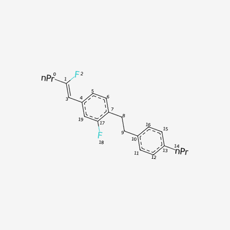 CCCC(F)=Cc1ccc(CCc2ccc(CCC)cc2)c(F)c1